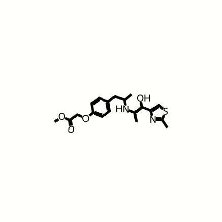 COC(=O)COc1ccc(CC(C)NC(C)C(O)c2csc(C)n2)cc1